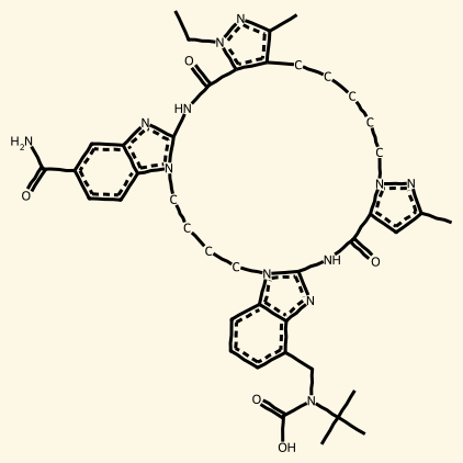 CCn1nc(C)c2c1C(=O)Nc1nc3cc(C(N)=O)ccc3n1CCCCn1c(nc3c(CN(C(=O)O)C(C)(C)C)cccc31)NC(=O)c1cc(C)nn1CCCCC2